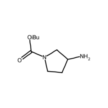 CC(C)COC(=O)N1CCC(N)C1